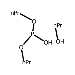 CCCO.CCCOP(O)OCCC